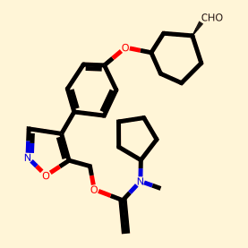 C=C(OCc1oncc1-c1ccc(OC2CCC[C@H](C=O)C2)cc1)N(C)C1CCCC1